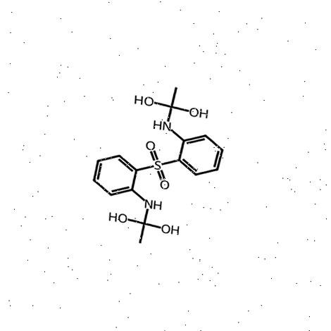 CC(O)(O)Nc1ccccc1S(=O)(=O)c1ccccc1NC(C)(O)O